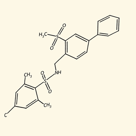 Cc1cc(C)c(S(=O)(=O)NCc2ccc(-c3ccccc3)cc2S(C)(=O)=O)c(C)c1